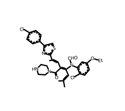 CCOc1ccc(Cl)c(N(C=O)/C(C=C(C)C)=C(\C=C(/C)c2nc(-c3ccc(Cl)cc3)cs2)C(=O)N2CCNCC2)c1